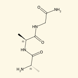 C[C@H](N)C(=O)N[C@@H](C)C(=O)NCC(N)=O